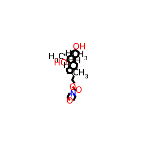 CC[C@H]1[C@@H](O)[C@@H]2[C@H](CC[C@]3(C)[C@@H](CCCOC(=O)N4CCOCC4)CC[C@@H]23)[C@@]2(C)CC[C@@H](O)C[C@@H]12